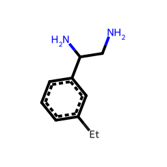 CCc1cccc(C(N)CN)c1